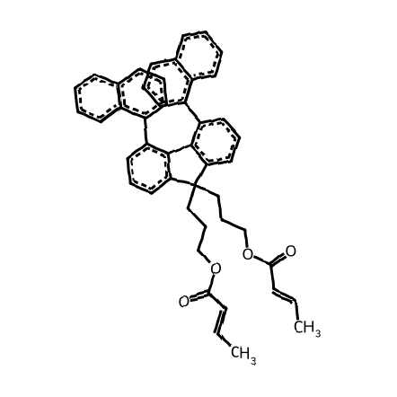 CC=CC(=O)OCCCC1(CCCOC(=O)C=CC)c2cccc(-c3cccc4ccccc34)c2-c2c(-c3cccc4ccccc34)cccc21